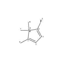 CC1=CC=C(F)[Si]1(C)C